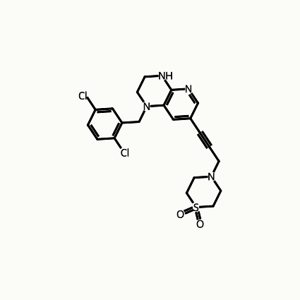 O=S1(=O)CCN(CC#Cc2cnc3c(c2)N(Cc2cc(Cl)ccc2Cl)CCN3)CC1